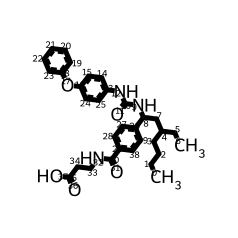 CCCCC(CC)CC(NC(=O)Nc1ccc(Oc2ccccc2)cc1)c1ccc(C(=O)NCCC(=O)O)cc1